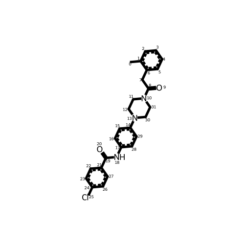 Cc1ccccc1CC(=O)N1CCN(c2ccc(NC(=O)c3ccc(Cl)cc3)cc2)CC1